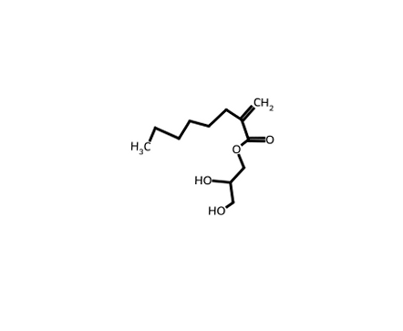 C=C(CCCCCC)C(=O)OCC(O)CO